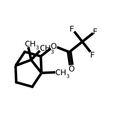 CC1(C)C2CCC1(C)C(OC(=O)C(F)(F)F)C2